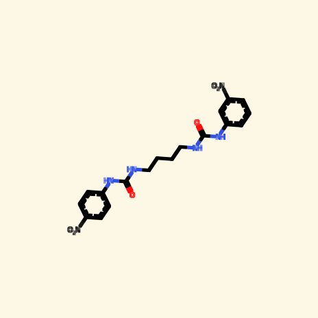 O=C(NCCCCNC(=O)Nc1cccc([N+](=O)[O-])c1)Nc1ccc([N+](=O)[O-])cc1